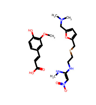 CNC(=C[N+](=O)[O-])NCCSCc1ccc(CN(C)C)o1.COc1cc(C=CC(=O)O)ccc1O